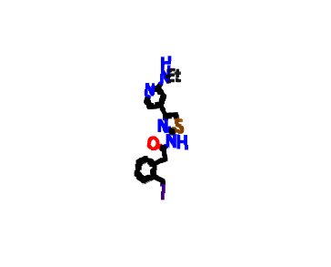 CCNc1cc(-c2csc(NC(=O)Cc3ccccc3CI)n2)ccn1